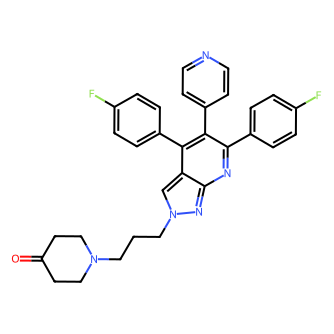 O=C1CCN(CCCn2cc3c(-c4ccc(F)cc4)c(-c4ccncc4)c(-c4ccc(F)cc4)nc3n2)CC1